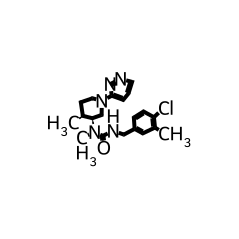 Cc1cc(CNC(=O)N(C)[C@H]2CN(c3cccnn3)CC[C@H]2C)ccc1Cl